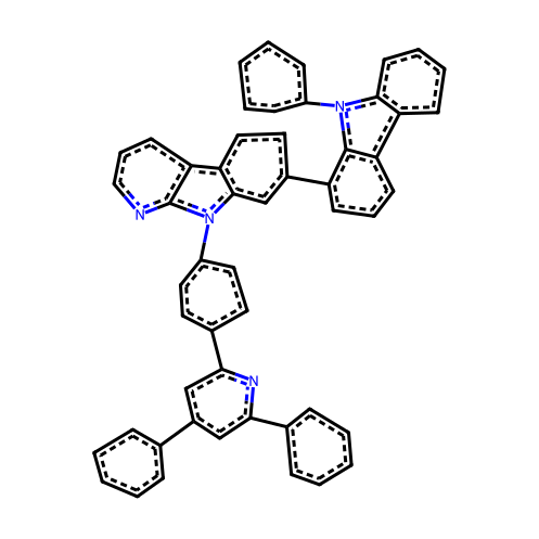 c1ccc(-c2cc(-c3ccccc3)nc(-c3ccc(-n4c5cc(-c6cccc7c8ccccc8n(-c8ccccc8)c67)ccc5c5cccnc54)cc3)c2)cc1